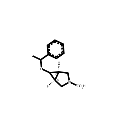 CC(OC1[C@H]2CN(C(=O)O)C[C@@H]12)c1ccccc1